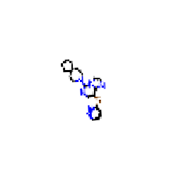 c1cnnc(Sc2cnc(N3CCC4(CCCC4)CC3)n3ccnc23)c1